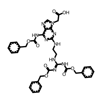 O=C(O)Cn1cnc2c(NC(=O)OCc3ccccc3)nc(NCCN/C(=N\C(=O)OCc3ccccc3)NC(=O)OCc3ccccc3)nc21